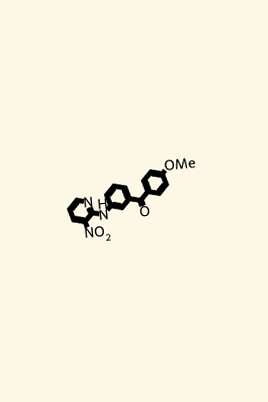 COc1ccc(C(=O)c2cccc(Nc3ncccc3[N+](=O)[O-])c2)cc1